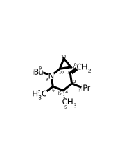 C=CC(C(C)C)[C@H](C)C(C)N(C(C)CC)C1CC1